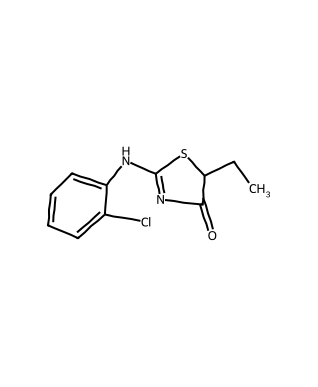 CCC1SC(Nc2ccccc2Cl)=NC1=O